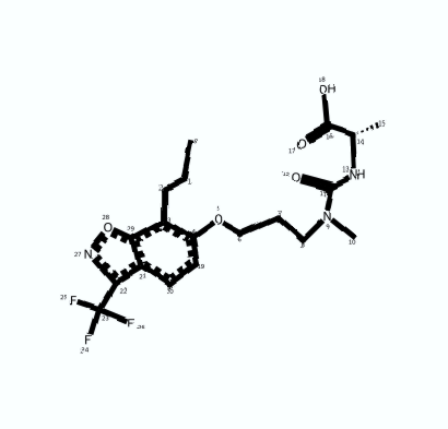 CCCc1c(OCCCN(C)C(=O)N[C@@H](C)C(=O)O)ccc2c(C(F)(F)F)noc12